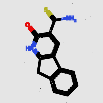 NC(=S)c1cc2c([nH]c1=O)Cc1ccccc1-2